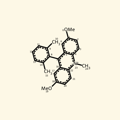 COc1ccc2c(c1)c(-c1c(C)cccc1C)c1cc(OC)ccc1[n+]2C